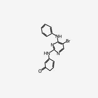 O=C1C=C(Nc2ncc(Br)c(Nc3ccccc3)n2)C=CC1